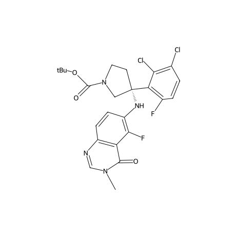 Cn1cnc2ccc(N[C@@]3(c4c(F)ccc(Cl)c4Cl)CCN(C(=O)OC(C)(C)C)C3)c(F)c2c1=O